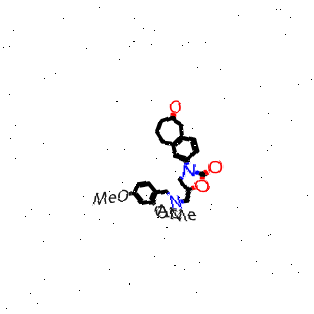 COc1ccc(CN(CC2CN(c3ccc4c(c3)CCCC(=O)C4)C(=O)O2)C(C)=O)c(OC)c1